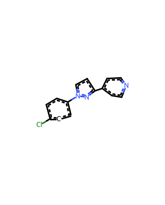 Clc1ccc(-n2ccc(-c3ccncc3)n2)cc1